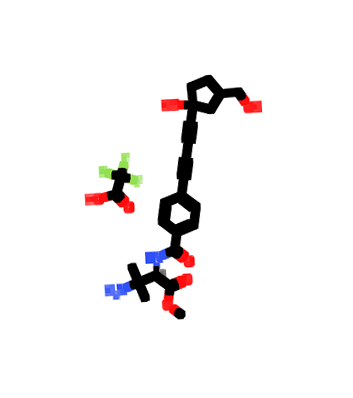 COC(=O)[C@@H](NC(=O)c1ccc(C#CC#CC2(O)CCC(CO)C2)cc1)C(C)(C)N.O=C(O)C(F)(F)F